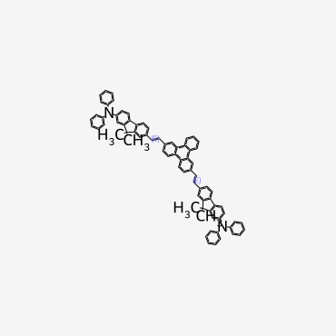 CC1(C)c2cc(/C=C/c3ccc4c5ccc(/C=C/c6ccc7c(c6)C(C)(C)c6cc(N(c8ccccc8)c8ccccc8)ccc6-7)cc5c5ccccc5c4c3)ccc2-c2ccc(N(c3ccccc3)c3ccccc3)cc21